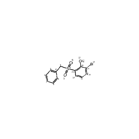 O=S(=O)(Cc1ccccc1)c1ccnc(Br)c1O